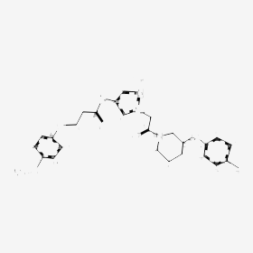 COc1ccc(OCCC(=O)Nc2cnn(CC(=O)N3CCCC(Oc4ccc(C)cc4)C3)c2)cc1.Cl